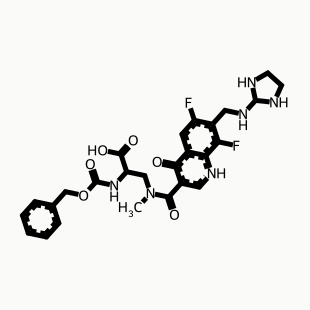 CN(CC(NC(=O)OCc1ccccc1)C(=O)O)C(=O)c1c[nH]c2c(F)c(CNC3NCCN3)c(F)cc2c1=O